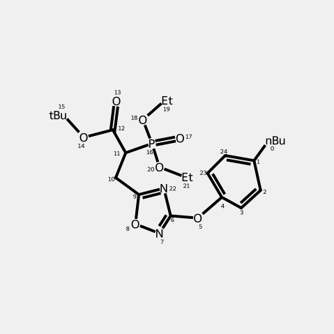 CCCCc1ccc(Oc2noc(CC(C(=O)OC(C)(C)C)P(=O)(OCC)OCC)n2)cc1